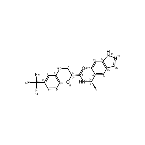 C[C@@H](NC(=O)[C@@H]1COc2cc(C(F)(F)F)ccc2O1)c1ccc2[nH]ncc2c1